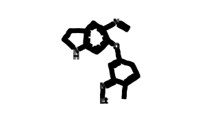 C=Nc1cc2c(cc1OC1=C/C(=N/CC)C(C)=CC1)NCC2